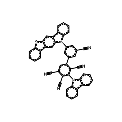 N#Cc1cc(-c2cc(C#N)c(C#N)c(-n3c4ccccc4c4ccccc43)c2C#N)cc(-n2c3ccccc3c3cc4sc5ccccc5c4cc32)c1